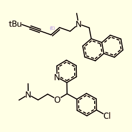 CN(C)CCOC(c1ccc(Cl)cc1)c1ccccn1.CN(C/C=C/C#CC(C)(C)C)Cc1cccc2ccccc12